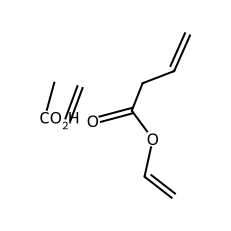 C=C.C=CCC(=O)OC=C.CC(=O)O